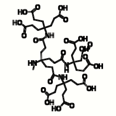 CNC(CCC(=O)NC(CCC(=O)O)(CCC(=O)O)CCC(=O)O)(CCC(=O)NC(CCC(=O)O)(CCC(=O)O)CCC(=O)O)CCC(=O)NC(CCC(=O)O)(CCC(=O)O)CC(O)C=O